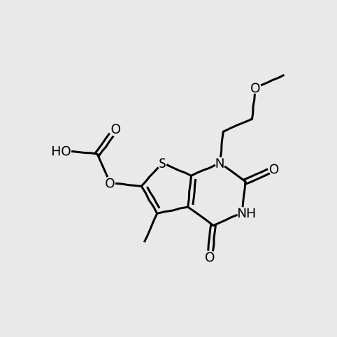 COCCn1c(=O)[nH]c(=O)c2c(C)c(OC(=O)O)sc21